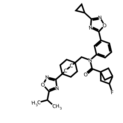 CC(C)c1nc(C23CCC(CN(C(=O)C45CC(F)C(C4)C5)c4cccc(-c5nc(C6CC6)no5)c4)(CC2)CC3)no1